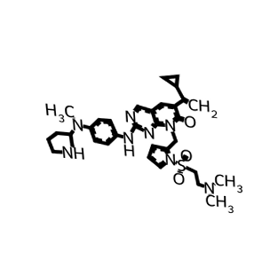 C=C(c1cc2cnc(Nc3ccc(N(C)C4CCCNC4)cc3)nc2n(Cc2cccn2S(=O)(=O)CCN(C)C)c1=O)C1CC1